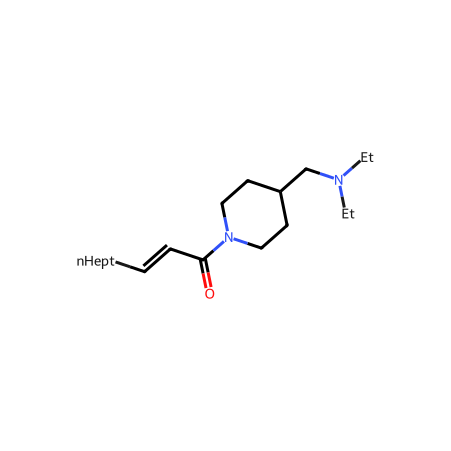 CCCCCCCC=CC(=O)N1CCC(CN(CC)CC)CC1